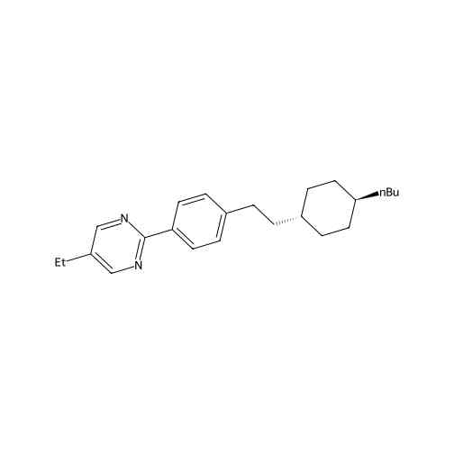 CCCC[C@H]1CC[C@H](CCc2ccc(-c3ncc(CC)cn3)cc2)CC1